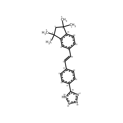 CC1(C)CC(C)(C)c2cc(C=Cc3ccc(-c4nnn[nH]4)cc3)ccc21